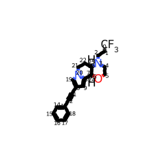 FC(F)(F)CCN1CCO[C@@H]2c3cc(C#Cc4ccccc4)cn3CC[C@@H]21